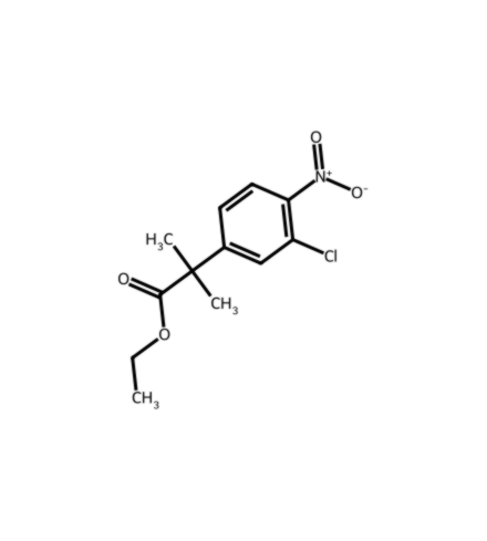 CCOC(=O)C(C)(C)c1ccc([N+](=O)[O-])c(Cl)c1